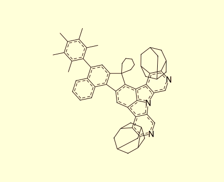 Cc1c(C)c(C)c(-c2cc3c(c4ccccc24)-c2cc4c5c6c(ncc5n5c7cnc8c(c7c(c2C32CCCCC2)c45)C2CC3CC(CC8C3)C2)C2CC3CC(C2)CC6C3)c(C)c1C